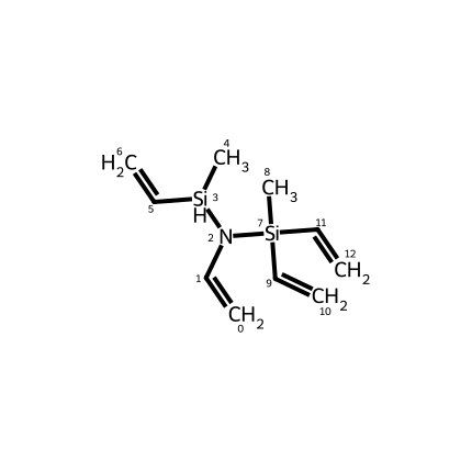 C=CN([SiH](C)C=C)[Si](C)(C=C)C=C